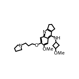 COc1cc2c(NC3CC(OC)C3)c3c(nc2cc1OCCCN1CCCC1)CCC3